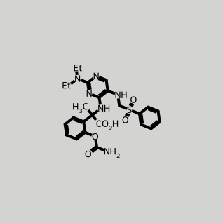 CCN(CC)c1ncc(NCS(=O)(=O)c2ccccc2)c(NC(C)(C(=O)O)c2ccccc2OC(N)=O)n1